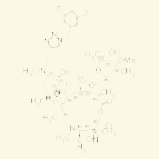 CC[C@H]1OC(=O)[C@H](C)[C@@H](OC[C@H]2C[C@@](C)(OC)[C@@H](O)[C@H](C)O2)[C@H](C)[C@@H](O[C@@H]2O[C@H](C)C[C@H](N(C)CCc3cn(Cc4cc(F)cc(F)c4)nn3)[C@H]2O)[C@](C)(O)C[C@@H](C)CN(C)[C@H](C)[C@@H](O)[C@]1(C)O